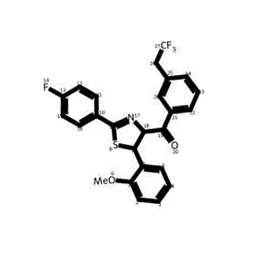 COc1ccccc1C1SC(c2ccc(F)cc2)=NC1C(=O)c1cccc(CC(F)(F)F)c1